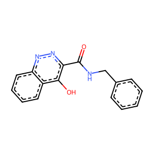 O=C(NCc1ccccc1)c1nnc2ccccc2c1O